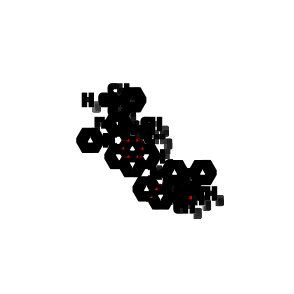 C[Si](C)(C)c1ccccc1-c1cc(F)c(N(c2ccccc2)c2ccc3ccc4c(N(c5ccccc5)c5c(F)cc(-c6ccccc6[Si](C)(C)C)cc5-c5ccccc5[Si](C)(C)C)ccc5ccc2c3c54)c(-c2ccccc2[Si](C)(C)C)c1